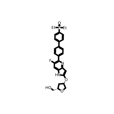 CCP(=O)(CC)c1ccc(-c2ccc(-c3nc4cc(O[C@@H]5CO[C@H](CO)C5)[nH]c4cc3F)cc2)cc1